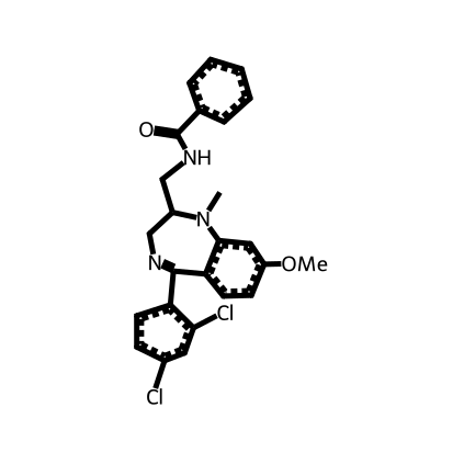 COc1ccc2c(c1)N(C)C(CNC(=O)c1ccccc1)CN=C2c1ccc(Cl)cc1Cl